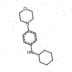 [CH]1CCCCC1Nc1ccc(N2CCOCC2)cc1